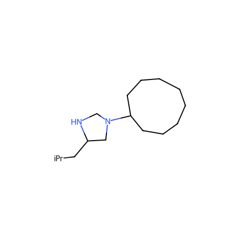 CC(C)CC1CN(C2CCCCCCCC2)CN1